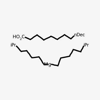 CC(C)CCCC[CH2][Mg][CH2]CCCCC(C)C.CCCCCCCCCCCCCCCCCC(=O)O